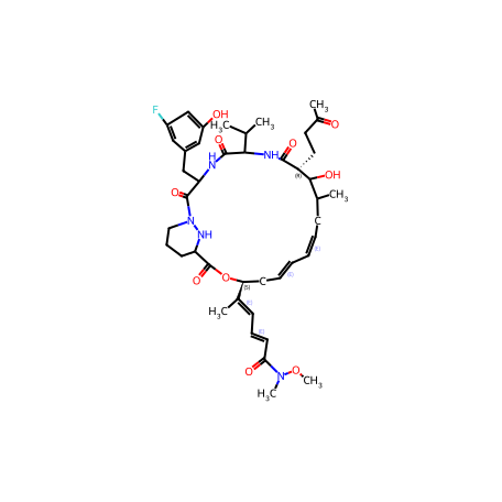 CON(C)C(=O)/C=C/C=C(\C)[C@@H]1C/C=C/C=C/CC(C)C(O)[C@@H](CCC(C)=O)C(=O)NC(C(C)C)C(=O)NC(Cc2cc(O)cc(F)c2)C(=O)N2CCCC(N2)C(=O)O1